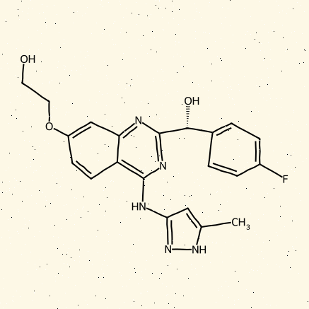 Cc1cc(Nc2nc([C@H](O)c3ccc(F)cc3)nc3cc(OCCO)ccc23)n[nH]1